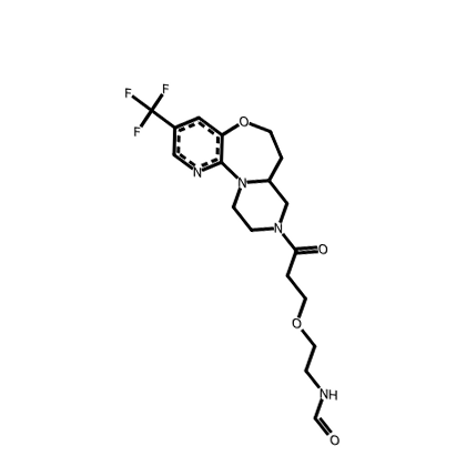 O=CNCCOCCC(=O)N1CCN2c3ncc(C(F)(F)F)cc3OCCC2C1